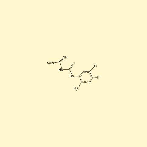 CNC(=N)NC(=O)Nc1cc(Cl)c(Br)cc1C